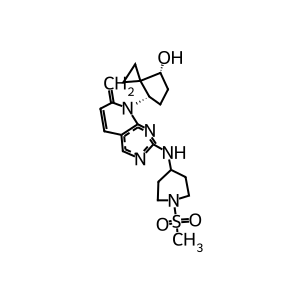 C=C1C=Cc2cnc(NC3CCN(S(C)(=O)=O)CC3)nc2N1[C@H]1CC[C@@H](O)C12CC2